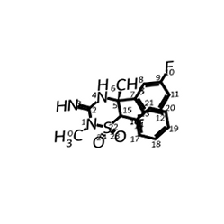 CN1C(=N)N[C@](C)(c2cc(F)ccc2F)C(c2ccccc2)S1(=O)=O